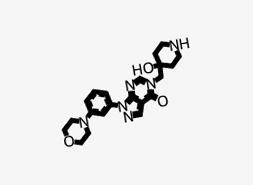 O=c1c2cnn(-c3cccc(N4CCOCC4)c3)c2ncn1CC1(O)CCNCC1